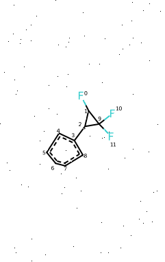 FC1[C](c2ccccc2)C1(F)F